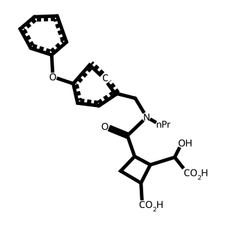 CCCN(Cc1ccc(Oc2ccccc2)cc1)C(=O)C1CC(C(=O)O)C1C(O)C(=O)O